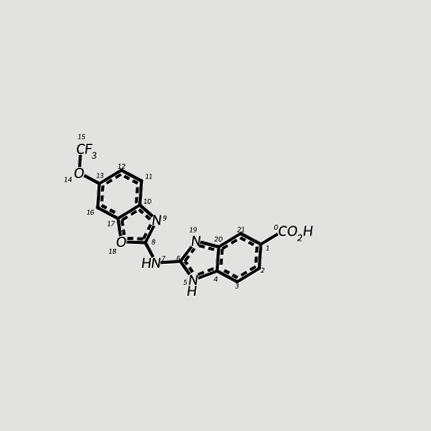 O=C(O)c1ccc2[nH]c(Nc3nc4ccc(OC(F)(F)F)cc4o3)nc2c1